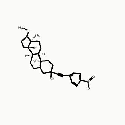 COC1CC[C@H]2[C@@H]3CCC4CC(O)(C#Cc5ccc([N+](=O)[O-])cc5)CC[C@]4(C)[C@@H]3CC[C@]12C